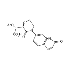 CC(=O)O[C@@H](C(=O)O)[C@H]1OCCN(c2ccc3ccc(=O)[nH]c3c2)C1=O